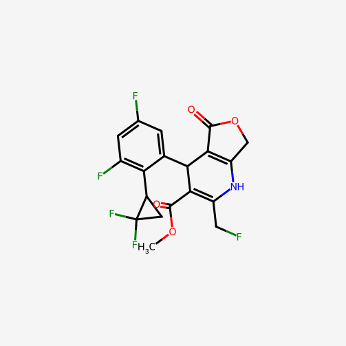 COC(=O)C1=C(CF)NC2=C(C(=O)OC2)C1c1cc(F)cc(F)c1C1CC1(F)F